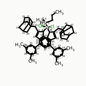 CCC[SiH](C)[Zr]([Cl])([Cl])([CH]1C(CC23CC4CC(CC(C4)C2)C3)=Cc2c(-c3cc(C)cc(C)c3)cccc21)[CH]1C(CC23CC4CC(CC(C4)C2)C3)=Cc2c(-c3cc(C)cc(C)c3)cccc21